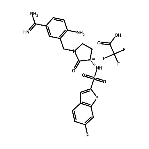 N=C(N)c1ccc(N)c(CN2CC[C@H](NS(=O)(=O)c3cc4ccc(F)cc4s3)C2=O)c1.O=C(O)C(F)(F)F